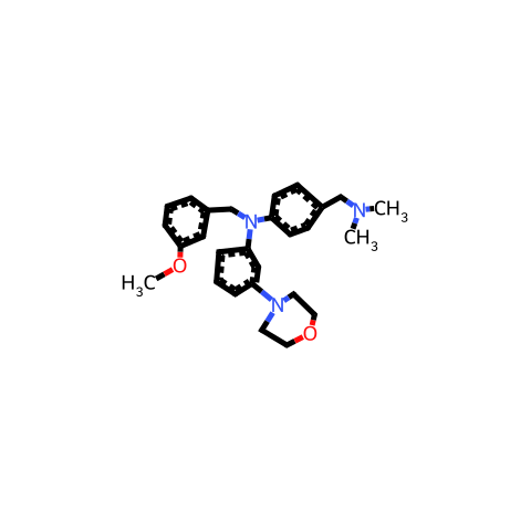 COc1cccc(CN(c2ccc(CN(C)C)cc2)c2cccc(N3CCOCC3)c2)c1